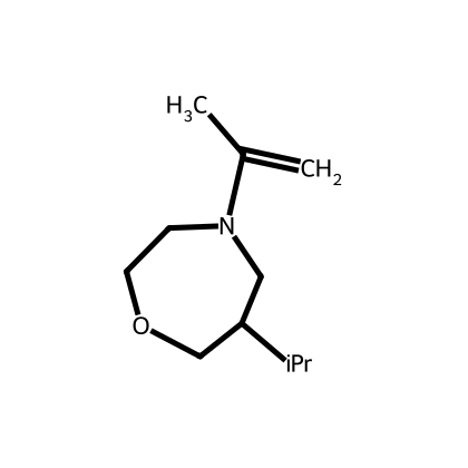 C=C(C)N1CCOCC(C(C)C)C1